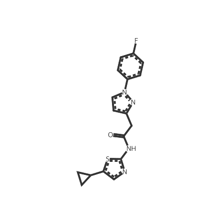 O=C(Cc1ccn(-c2ccc(F)cc2)n1)Nc1ncc(C2CC2)s1